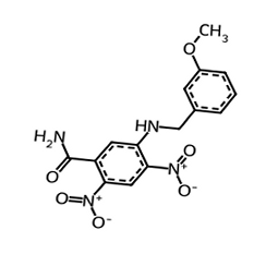 COc1cccc(CNc2cc(C(N)=O)c([N+](=O)[O-])cc2[N+](=O)[O-])c1